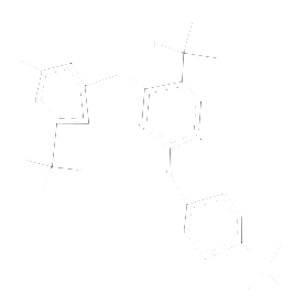 CP(C)(=O)c1ccc(Nc2ncc(C(F)(F)F)c(Oc3cc(F)cc(C(F)(F)F)c3)n2)cc1